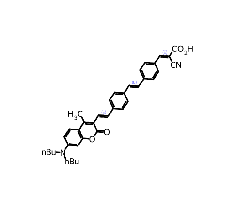 CCCCN(CCCC)c1ccc2c(C)c(/C=C/c3ccc(/C=C/c4ccc(/C=C(\C#N)C(=O)O)cc4)cc3)c(=O)oc2c1